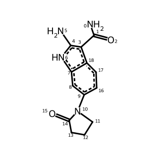 NC(=O)c1c(N)[nH]c2cc(N3CCCC3=O)ccc12